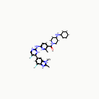 Cc1nc(Nc2ncc(F)c(-c3cc(F)c4nc(C)n(C(C)C)c4c3)n2)ccc1C(=O)N1CCC(NC2CCCCC2)CC1